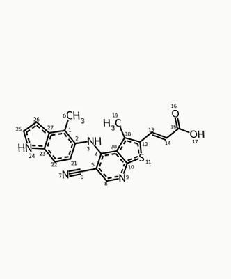 Cc1c(Nc2c(C#N)cnc3sc(C=CC(=O)O)c(C)c23)ccc2[nH]ccc12